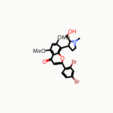 COc1cc(OC)c2c(=O)cc(-c3ccc(Br)cc3Br)oc2c1C1CCN(C)C1CO